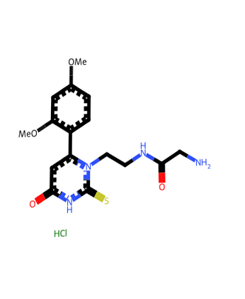 COc1ccc(-c2cc(=O)[nH]c(=S)n2CCNC(=O)CN)c(OC)c1.Cl